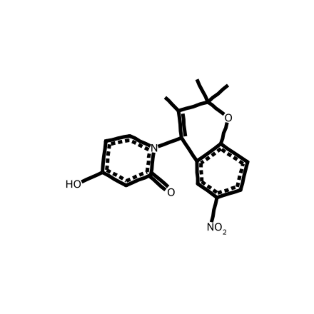 CC1=C(n2ccc(O)cc2=O)c2cc([N+](=O)[O-])ccc2OC1(C)C